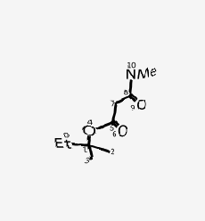 CCC(C)(C)OC(=O)CC(=O)NC